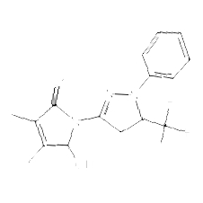 CC1=C(C)C(O)N(C2=NN(c3ccccc3)C(C(F)(F)F)C2)C1=O